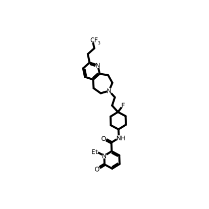 CCn1c(C(=O)NC2CCC(F)(CCN3CCc4ccc(CCC(F)(F)F)nc4CC3)CC2)cccc1=O